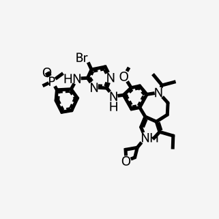 CC/C(C)=C1\CCN(C(C)C)c2cc(OC)c(Nc3ncc(Br)c(Nc4ccccc4P(C)(C)=O)n3)cc2\C1=C\NC1COC1